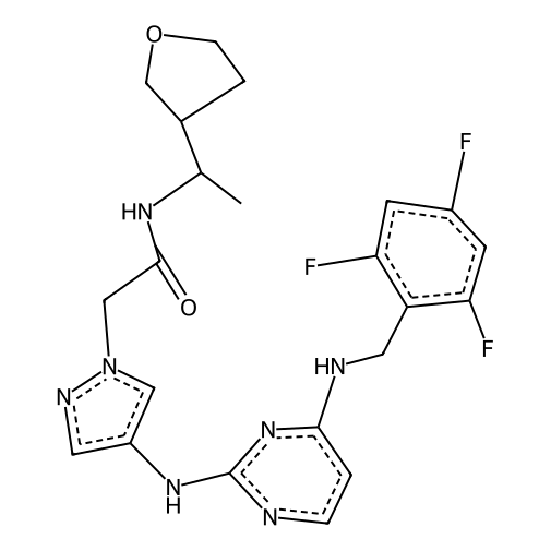 CC(NC(=O)Cn1cc(Nc2nccc(NCc3c(F)cc(F)cc3F)n2)cn1)C1CCOC1